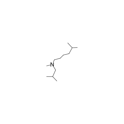 CC(C)CCCCN(C)CC(C)C